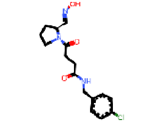 O=C(CCC(=O)N1CCC[C@H]1/C=N/O)NCc1ccc(Cl)cc1